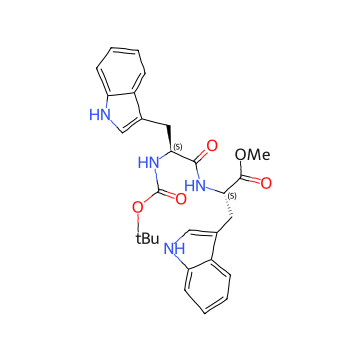 COC(=O)[C@H](Cc1c[nH]c2ccccc12)NC(=O)[C@H](Cc1c[nH]c2ccccc12)NC(=O)OC(C)(C)C